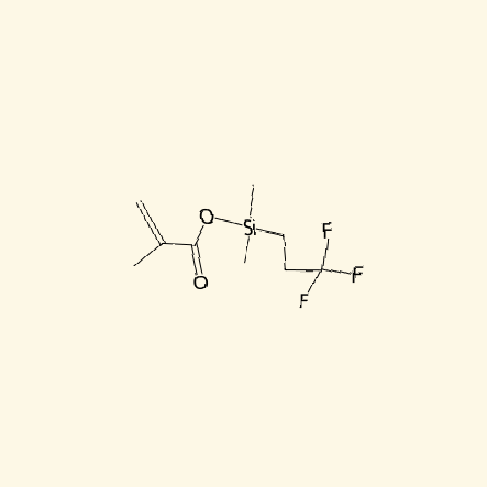 C=C(C)C(=O)O[Si](C)(C)CCC(F)(F)F